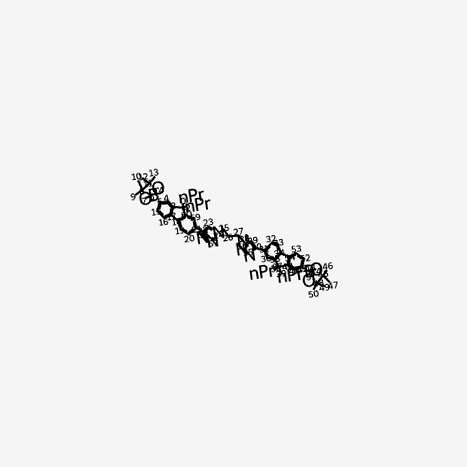 CCCC1(CCC)c2cc(B3OC(C)(C)C(C)(C)O3)ccc2-c2ccc(-c3cn(CCCn4cc(-c5ccc6c(c5)C(CCC)(CCC)c5cc(B7OC(C)(C)C(C)(C)O7)ccc5-6)nn4)nn3)cc21